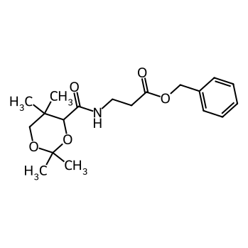 CC1(C)OCC(C)(C)C(C(=O)NCCC(=O)OCc2ccccc2)O1